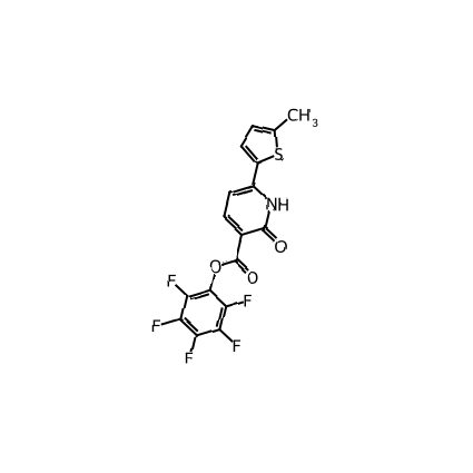 Cc1ccc(-c2ccc(C(=O)Oc3c(F)c(F)c(F)c(F)c3F)c(=O)[nH]2)s1